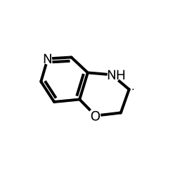 [CH]1COc2ccncc2N1